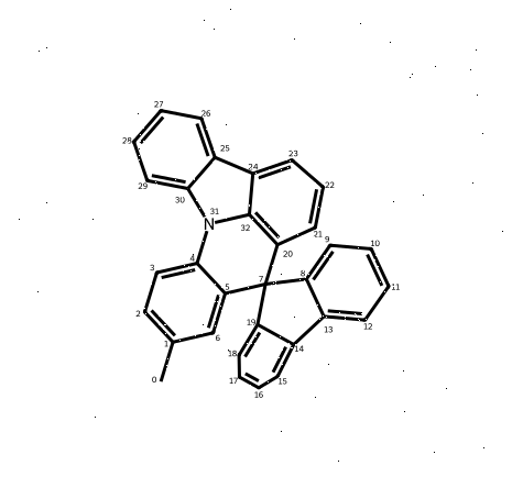 Cc1ccc2c(c1)C1(c3ccccc3-c3ccccc31)c1cccc3c4ccccc4n-2c13